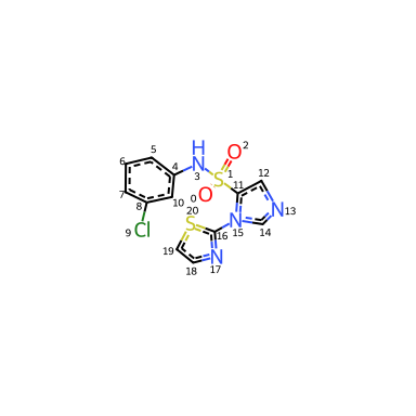 O=S(=O)(Nc1cccc(Cl)c1)c1cncn1-c1nccs1